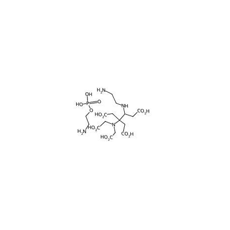 NCCNC(CC(=O)O)C(CC(=O)O)(CC(=O)O)N(CC(=O)O)CC(=O)O.NCCOP(=O)(O)O